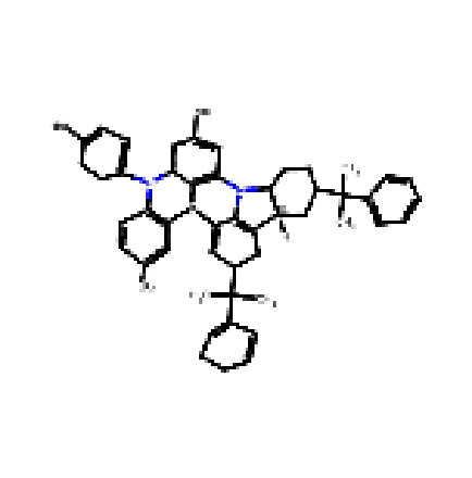 CC(C)(C)C1=CC=C(N2c3ccc(C(C)(C)C)cc3B3C4=CC(C(C)(C)C5=CCCC=C5)CC5=C4N(C4=C3C2CC(C(C)(C)C)=C4)C2CCC(C(C)(C)c3ccccc3)C[C@H]52)CC1